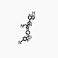 N#CCC1(n2cc(-c3ccnc4[nH]ccc34)cn2)CN(C2CCN(C(=O)c3ccc(C#N)cc3F)CC2)C1